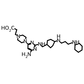 Nc1cc(N2CCN(CCC(=O)O)CC2)nc(NCC2CCC(NCCCNC3CCCCC3)CC2)n1